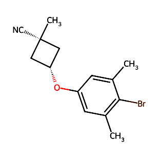 Cc1cc(O[C@H]2C[C@@](C)(C#N)C2)cc(C)c1Br